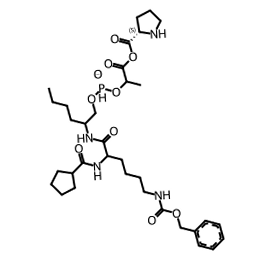 CCCCC(CO[PH](=O)OC(C)C(=O)OC(=O)[C@@H]1CCCN1)NC(=O)C(CCCCNC(=O)OCc1ccccc1)NC(=O)C1CCCC1